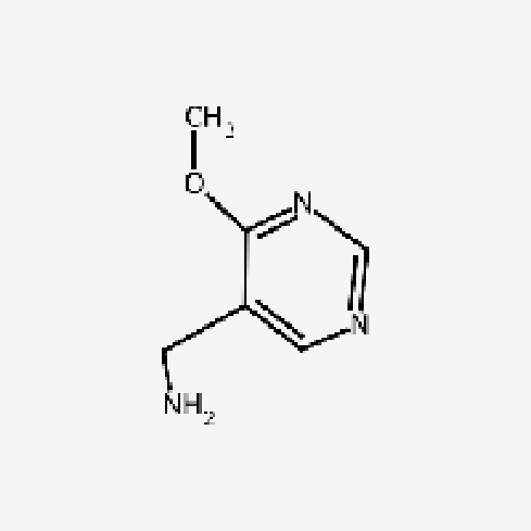 COc1ncncc1CN